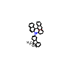 CC1(C)c2ccccc2-c2cc(N(c3ccccc3)c3ccc4ccccc4c3-c3cccc4ccccc34)ccc21